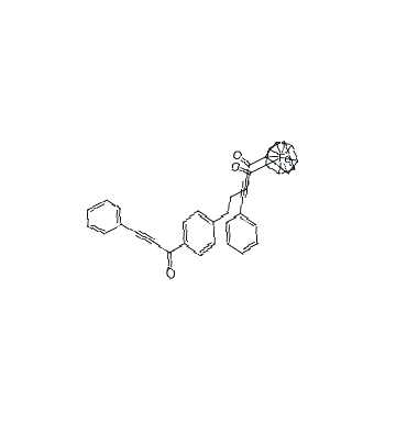 O=C(C#Cc1ccccc1)c1ccc(CCCC(=O)[C]23[CH]4[CH]5[CH]6[CH]2[Fe]56432789[CH]3[CH]2[CH]7[C]8(C(=O)C#Cc2ccccc2)[CH]39)cc1